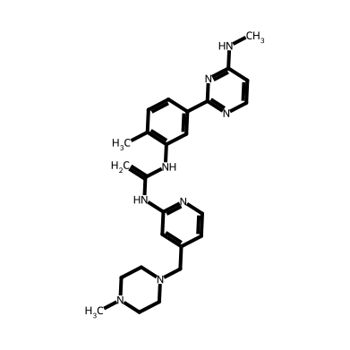 C=C(Nc1cc(CN2CCN(C)CC2)ccn1)Nc1cc(-c2nccc(NC)n2)ccc1C